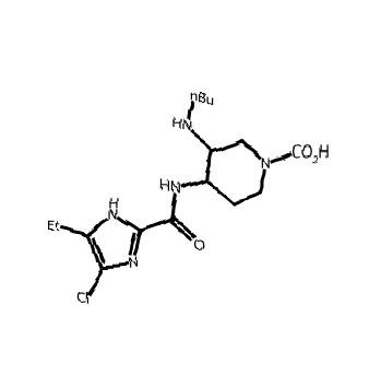 CCCCNC1CN(C(=O)O)CCC1NC(=O)c1nc(Cl)c(CC)[nH]1